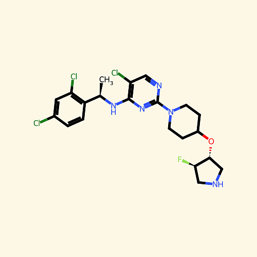 C[C@@H](Nc1nc(N2CCC(O[C@@H]3CNC[C@H]3F)CC2)ncc1Cl)c1ccc(Cl)cc1Cl